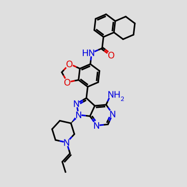 CC=CN1CCC[C@@H](n2nc(-c3ccc(NC(=O)c4cccc5c4CCCC5)c4c3OCO4)c3c(N)ncnc32)C1